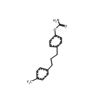 NC(=O)Oc1ccc(CC[CH]c2ccc(C(F)(F)F)cc2)cc1